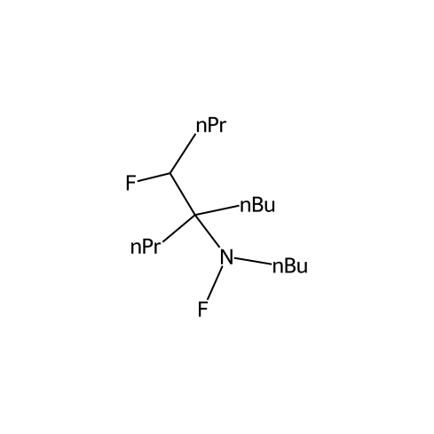 CCCCN(F)C(CCC)(CCCC)C(F)CCC